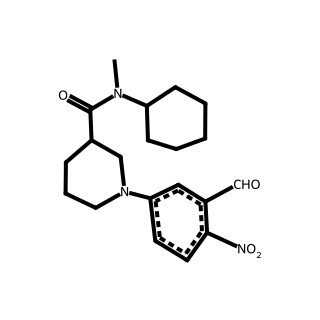 CN(C(=O)C1CCCN(c2ccc([N+](=O)[O-])c(C=O)c2)C1)C1CCCCC1